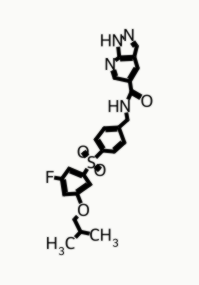 CC(C)COc1cc(F)cc(S(=O)(=O)c2ccc(CNC(=O)c3cnc4[nH]ncc4c3)cc2)c1